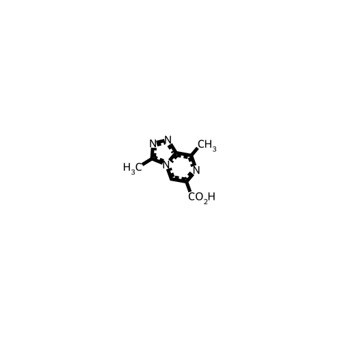 Cc1nc(C(=O)O)cn2c(C)nnc12